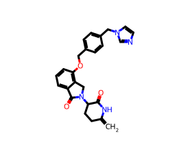 C=C1CCC(N2Cc3c(OCc4ccc(Cn5ccnc5)cc4)cccc3C2=O)C(=O)N1